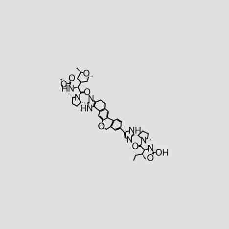 CC[C@H](C)[C@@H](C(=O)N1[C@@H](C)CC[C@H]1c1ncc(-c2ccc3c(c2)COc2cc4c(cc2-3)CCc2nc([C@@H]3CC[C@H](C)N3C(=O)[C@@H](NC(=O)OC)C3C[C@@H](C)O[C@H](C)C3)[nH]c2-4)[nH]1)N(C)C(=O)O